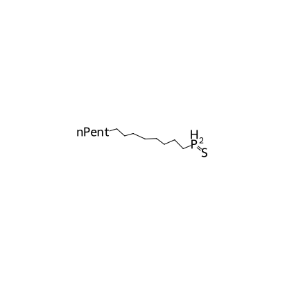 CCCCCCCCCCCCC[PH2]=S